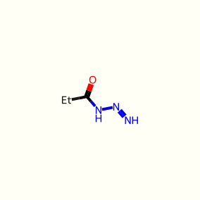 CCC(=O)NN=N